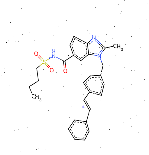 CCCCS(=O)(=O)NC(=O)c1ccc2nc(C)n(Cc3ccc(/C=C/c4ccccc4)cc3)c2c1